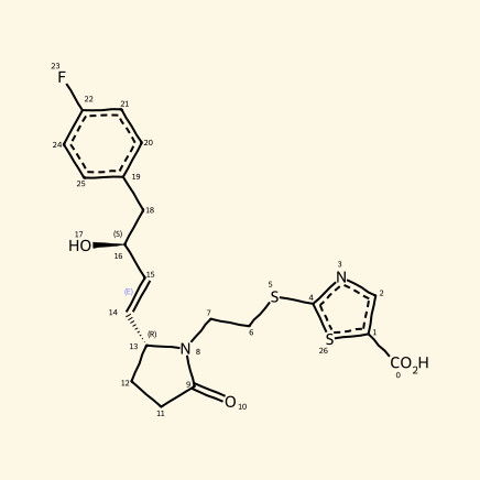 O=C(O)c1cnc(SCCN2C(=O)CC[C@@H]2/C=C/[C@@H](O)Cc2ccc(F)cc2)s1